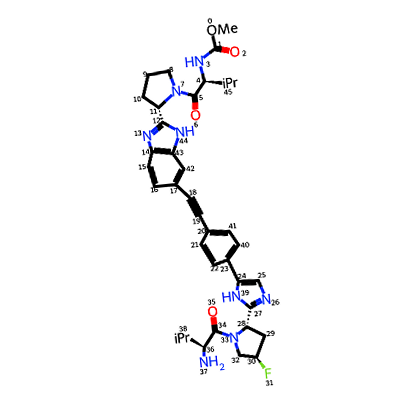 COC(=O)N[C@H](C(=O)N1CCC[C@H]1c1nc2ccc(C#Cc3ccc(-c4cnc([C@@H]5C[C@@H](F)CN5C(=O)[C@@H](N)C(C)C)[nH]4)cc3)cc2[nH]1)C(C)C